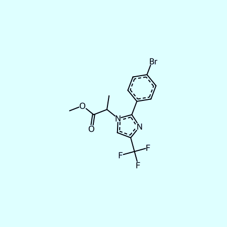 COC(=O)C(C)n1cc(C(F)(F)F)nc1-c1ccc(Br)cc1